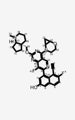 C#Cc1c(F)ccc2cc(O)cc(-c3ncc4c(N5CCOC6CC65)nc(OC[C@]56CCC[C@H]5N(C)CCC6)nc4c3F)c12